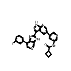 O=C(Nc1cncc(-c2cnc3[nH]nc(-c4nc5c(-c6cccc(F)c6)cncc5[nH]4)c3c2)c1)C1CCC1